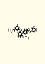 Nc1cccc(Oc2ncnc(N)c2-c2ccc(OCc3ccccc3)nc2)c1